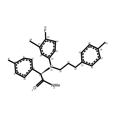 CNC(=O)[C@@H](c1ccc(C)cc1)N(CCCc1ccc(C)cc1)c1ccc(F)c(C)c1